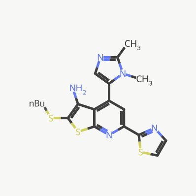 CCCCSc1sc2nc(-c3nccs3)cc(-c3cnc(C)n3C)c2c1N